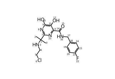 CC(C)(NCCCl)c1nc(O)c(O)c(C(=O)NCc2ccc(F)cc2)n1